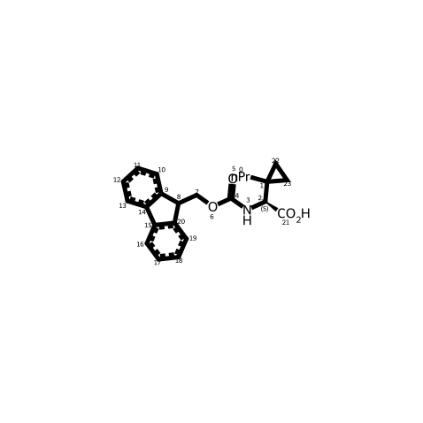 CCCC1([C@H](NC(=O)OCC2c3ccccc3-c3ccccc32)C(=O)O)CC1